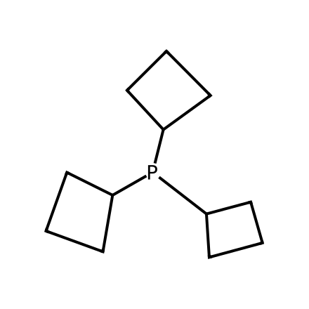 C1CC(P(C2CCC2)C2CCC2)C1